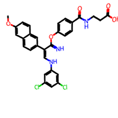 COc1ccc2cc(/C(=C/Nc3cc(Cl)cc(Cl)c3)C(=N)Oc3ccc(C(=O)NCCC(=O)O)cc3)ccc2c1